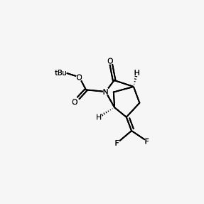 CC(C)(C)OC(=O)N1C(=O)[C@H]2CC(=C(F)F)[C@@H]1C2